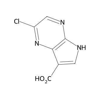 O=C(O)c1c[nH]c2ncc(Cl)nc12